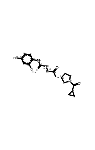 O=C(C[C@@H]1CCN(C(=O)C2CC2)C1)NNC(=O)Nc1ccc(Br)cc1Cl